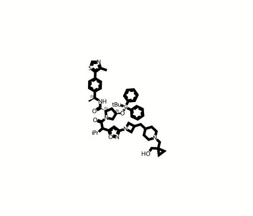 Cc1ncsc1-c1ccc([C@H](C)NC(=O)[C@@H]2C[C@@H](O[Si](c3ccccc3)(c3ccccc3)C(C)(C)C)CN2C(=O)C(c2cc(N3CC(CC4CCN(CC5(CO)CC5)CC4)C3)no2)C(C)C)cc1